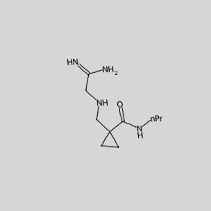 [CH2]CCNC(=O)C1(CNCC(=N)N)CC1